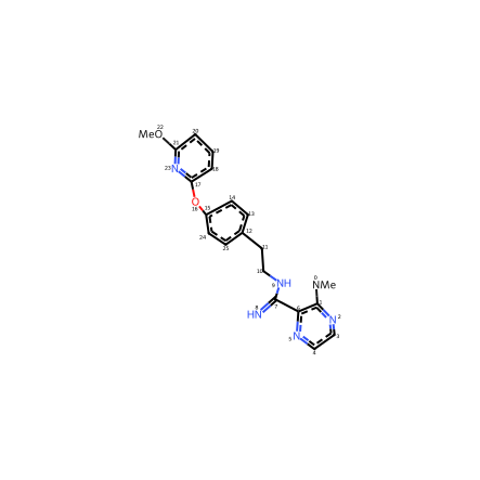 CNc1nccnc1C(=N)NCCc1ccc(Oc2cccc(OC)n2)cc1